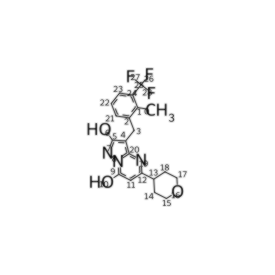 Cc1c(Cc2c(O)nn3c(O)cc(C4CCOCC4)nc23)cccc1C(F)(F)F